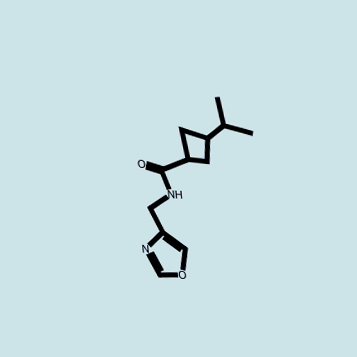 CC(C)C1CC(C(=O)NCc2cocn2)C1